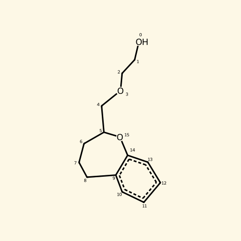 OCCOCC1CCCc2ccccc2O1